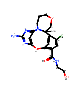 Nc1nc2cc(n1)N1CCCOC[C@@H]1c1cc(c(C(=O)NCCO)cc1Cl)O2